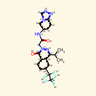 CC(C)c1nn(CC(=O)Nc2ccc3nncn3c2)c(=O)c2ccc(C(F)(F)C(F)(F)F)cc12